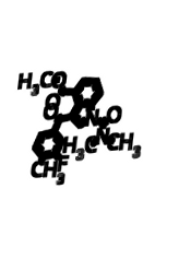 COC(=O)c1cccc2c1c(C(=O)c1ccc(C)c(F)c1)cn2C(=O)N(C)C